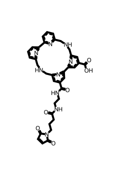 O=C(CCCN1C(=O)C=CC1=O)NCCNC(=O)c1cc2nc(c1)-c1cc(C(=O)O)cc(n1)CNCc1cccc(n1)-c1cccc(n1)CNC2